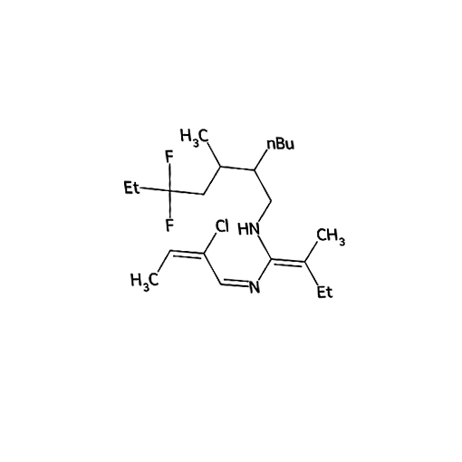 C\C=C(Cl)/C=N\C(NCC(CCCC)C(C)CC(F)(F)CC)=C(\C)CC